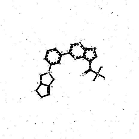 CC(C)(C)C(=O)c1c[nH]c2ncc(-c3cccc(N4CC5=CCCC5C4)c3)nc12